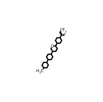 CC1CCC(C2CCC(C3CCC(C4CCC(/C(F)=C/C(F)(F)F)CC4)OC3)CC2)CC1